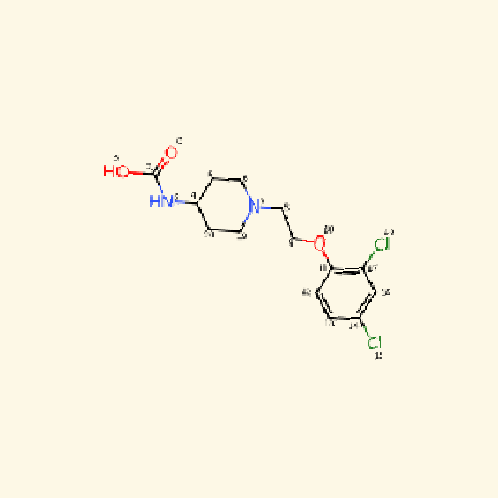 O=C(O)NC1CCN(CCOc2ccc(Cl)cc2Cl)CC1